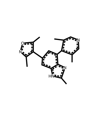 Cc1nc2c(-c3c(C)cncc3C)cc(-c3c(C)noc3C)cc2[nH]1